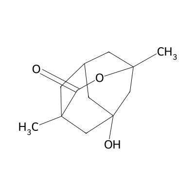 CC12CC3CC(O)(C1)CC(C)(C3)C(=O)O2